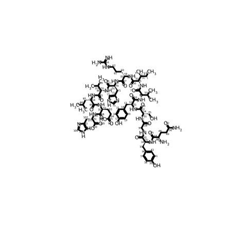 CC[C@H](C)[C@H](NC(=O)[C@@H](NC(=O)[C@H](Cc1ccc(O)cc1)NC(=O)[C@H](CO)NC(=O)CNC(=O)[C@H](Cc1ccc(O)cc1)NC(=O)[C@@H](N)CCC(N)=O)C(C)C)C(=O)N[C@@H](CCCNC(=N)N)C(=O)N[C@@H](Cc1c[nH]cn1)C(=O)N[C@H](C(=O)N[C@@H](CC(C)C)C(=O)N[C@@H](CCC(=O)O)C(=O)N[C@@H](Cc1c[nH]cn1)C(=O)O)C(C)C